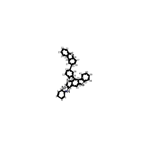 N=C1C=CC=C/C1=N/c1cn2c3ccc(-c4ccc5sc6ccccc6c5c4)cc3c3c4c(cc1c32)sc1ccccc14